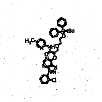 Cc1ccc(NC(=O)[C@H](COCCO[Si](c2ccccc2)(c2ccccc2)C(C)(C)C)Oc2ncnc3c2nnn3-c2ccccc2Cl)nc1